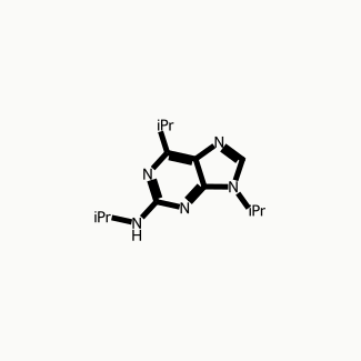 CC(C)Nc1nc(C(C)C)c2ncn(C(C)C)c2n1